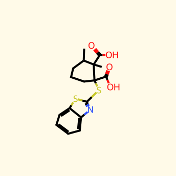 CC1CCCC(Sc2nc3ccccc3s2)(C(=O)O)C1(C)C(=O)O